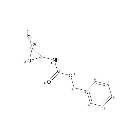 CC[C@H]1OC1NC(=O)OCc1ccccc1